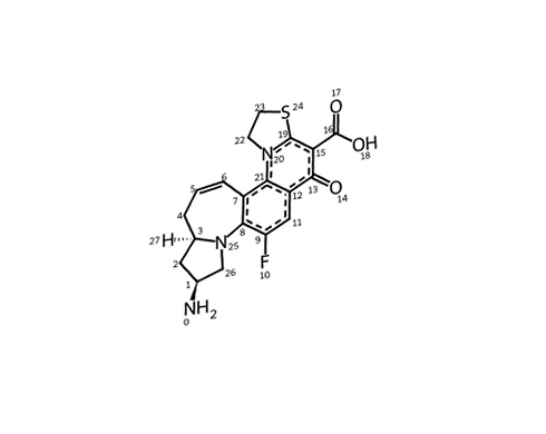 N[C@H]1C[C@H]2CC=Cc3c(c(F)cc4c(=O)c(C(=O)O)c5n(c34)CCS5)N2C1